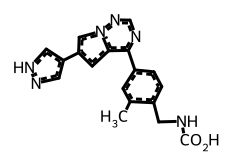 Cc1cc(-c2ncnn3cc(-c4cn[nH]c4)cc23)ccc1CNC(=O)O